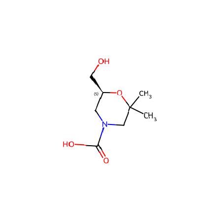 CC1(C)CN(C(=O)O)C[C@@H](CO)O1